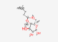 CCCCCCCCCCCC1OC[C@H]2O[C@H](O)[C@H](O)[C@@H](O)[C@H]2O1